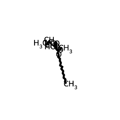 CCCCCCCCCCCCCCOC[C@H](COP(=O)(O)OCC[N+](C)(C)C)OC